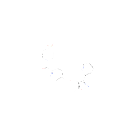 Cc1onc(-c2ccccn2)c1COc1ccc(C(=O)N2CCS(=O)(=O)CC2)nc1